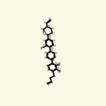 C=CCCc1ccc(-c2ccc(-c3ccc(C4CCC(C=C)CO4)cc3F)cc2)c(F)c1F